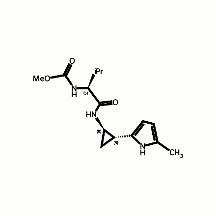 COC(=O)N[C@H](C(=O)N[C@@H]1C[C@H]1c1ccc(C)[nH]1)C(C)C